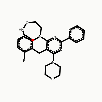 Fc1ccccc1Cc1c(N2CCOCC2)nc(-c2ccccn2)nc1N1CCNOCC1